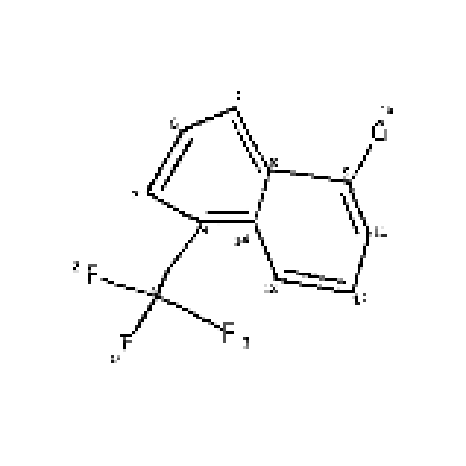 FC(F)(F)c1cccc2c(Cl)cccc12